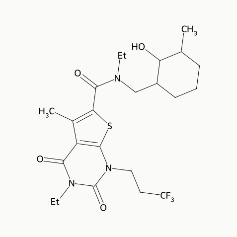 CCN(CC1CCCC(C)C1O)C(=O)c1sc2c(c1C)c(=O)n(CC)c(=O)n2CCC(F)(F)F